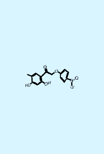 Cc1cc(C(=O)COc2ccc([N+](=O)[O-])cc2)c(O)cc1O